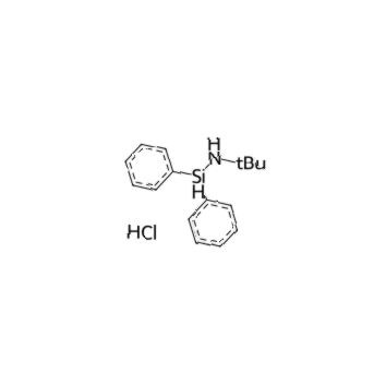 CC(C)(C)N[SiH](c1ccccc1)c1ccccc1.Cl